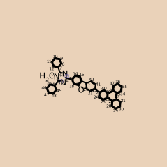 C=N/C(=N\C(=N/Cc1ccccc1)c1ccc2c(c1)OC1C=C(c3ccc4c5ccccc5c5ccccc5c4c3)C=CC21)c1ccccc1